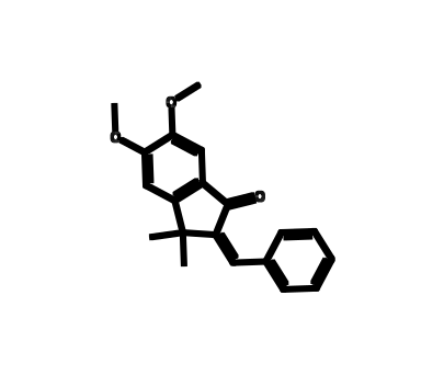 COc1cc2c(cc1OC)C(C)(C)/C(=C/c1ccccc1)C2=O